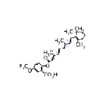 CC1=C(/C=C/C(C)=C/C=C/C(C)=C/C(=O)Oc2ccc(OC(F)(F)F)cc2C(=O)O)C(C)(C)CCC1